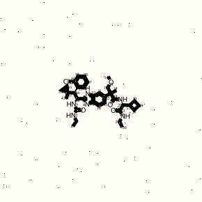 CCNC(=O)N[C@H](c1nc2ccc(C(C)(COC)C(=O)N[C@@H](C(=O)NCC)C3CCC3)cc2[nH]1)[C@H](c1ccccc1Cl)C1(C)CC1